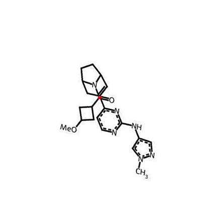 COC1CC(C(=O)N2C3C=C(c4ccnc(Nc5cnn(C)c5)n4)CC2CC3)C1